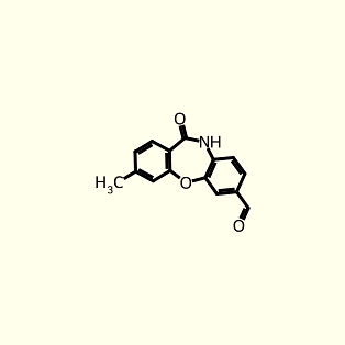 Cc1ccc2c(c1)Oc1cc(C=O)ccc1NC2=O